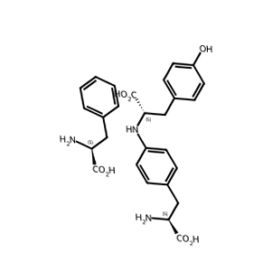 N[C@@H](Cc1ccc(N[C@@H](Cc2ccc(O)cc2)C(=O)O)cc1)C(=O)O.N[C@@H](Cc1ccccc1)C(=O)O